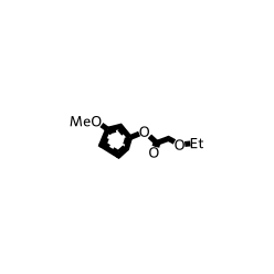 CCOCC(=O)Oc1cccc(OC)c1